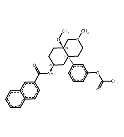 CO[C@]12CC[C@H](NC(=O)c3ccc4ccccc4c3)C[C@]1(c1cccc(OC(C)=O)c1)CCN(C)C2